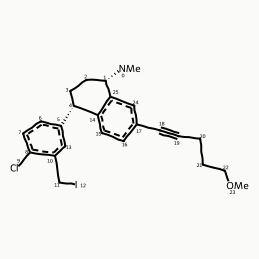 CN[C@H]1CC[C@@H](c2ccc(Cl)c(CI)c2)c2ccc(C#CCCCOC)cc21